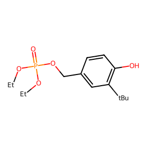 CCOP(=O)(OCC)OCc1ccc(O)c(C(C)(C)C)c1